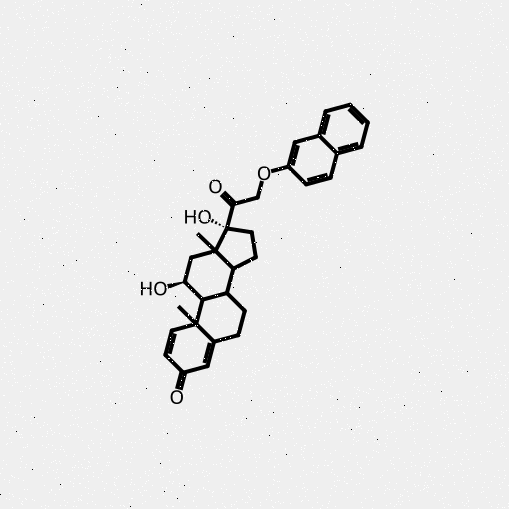 CC12C=CC(=O)C=C1CCC1C2[C@@H](O)CC2(C)C1CC[C@]2(O)C(=O)COc1ccc2ccccc2c1